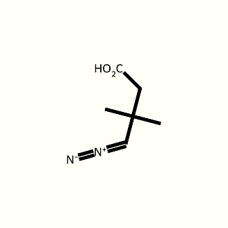 CC(C)(C=[N+]=[N-])CC(=O)O